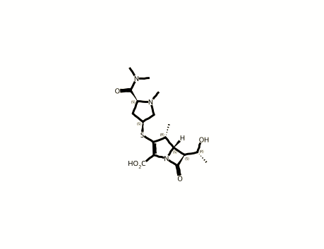 C[C@@H](O)[C@H]1C(=O)N2C(C(=O)O)=C(S[C@H]3C[C@@H](C(=O)N(C)C)N(C)C3)[C@H](C)[C@H]12